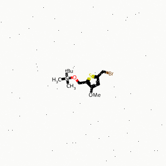 COc1cc(CBr)sc1CO[Si](C)(C)C(C)(C)C